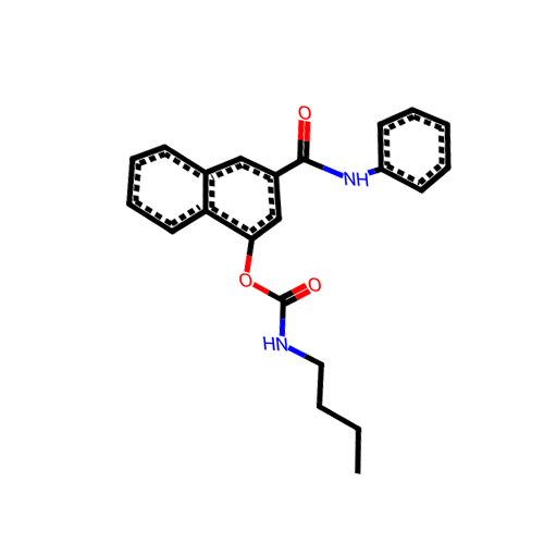 CCCCNC(=O)Oc1cc(C(=O)Nc2ccccc2)cc2ccccc12